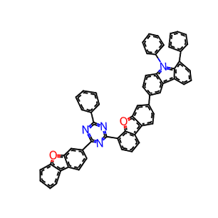 c1ccc(-c2nc(-c3ccc4c(c3)oc3ccccc34)nc(-c3cccc4c3oc3cc(-c5ccc6c(c5)c5cccc(-c7ccccc7)c5n6-c5ccccc5)ccc34)n2)cc1